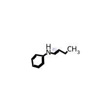 CC/C=C/NC1=C=C=CC=C1